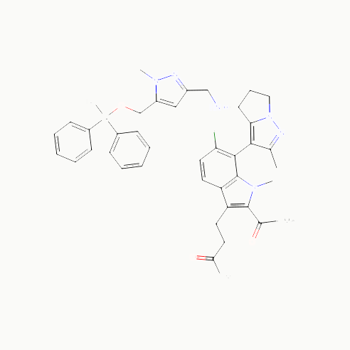 COC(=O)CCc1c(C(=O)OC)n(C)c2c(-c3c(C)nn4c3[C@H](NCc3cc(CO[Si](c5ccccc5)(c5ccccc5)C(C)(C)C)n(C)n3)CC4)c(Cl)ccc12